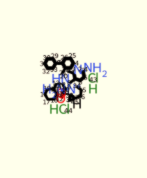 Cc1nc(N)ccc1C[N+]1(C(=O)[C@@H](CC2CCCCC2)NCc2ccccc2-c2ccccc2)CCC[C@@H]2C[C@@]21C(N)=O.Cl.Cl